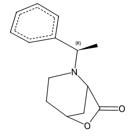 C[C@H](c1ccccc1)N1CCC2CC1C(=O)O2